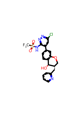 O=S(=O)(Nc1nnc(Cl)cc1-c1ccc2c(c1)OC[C@H](Cc1ccccn1)[C@H]2O)C(F)(F)F